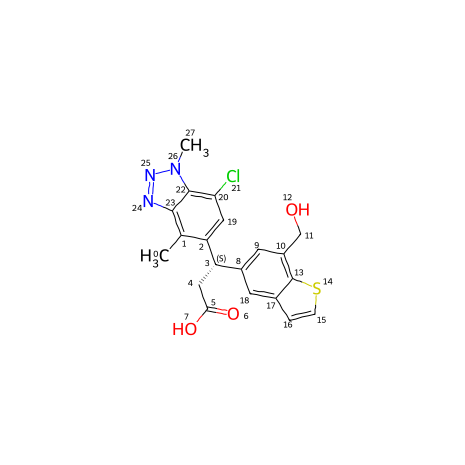 Cc1c([C@@H](CC(=O)O)c2cc(CO)c3sccc3c2)cc(Cl)c2c1nnn2C